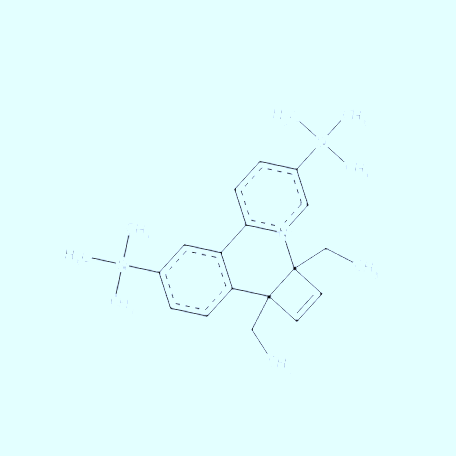 CCC12C=CC1(CC)[n+]1cc([Si](C)(C)C)ccc1-c1cc([Si](C)(C)C)ccc12